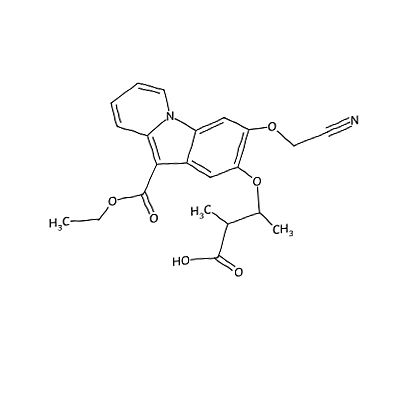 CCOC(=O)c1c2cc(OC(C)C(C)C(=O)O)c(OCC#N)cc2n2ccccc12